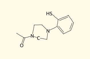 CC(=O)N1CCN(c2ccccc2S)CC1